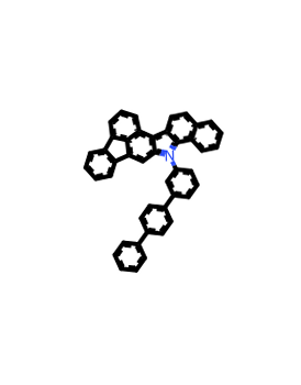 c1ccc(-c2ccc(-c3cccc(-n4c5cc6c7c(cccc7c5c5ccc7ccccc7c54)-c4ccccc4-6)c3)cc2)cc1